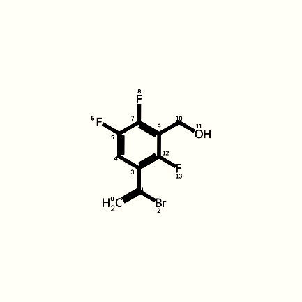 C=C(Br)c1cc(F)c(F)c(CO)c1F